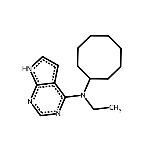 CCN(c1ncnc2[nH]ccc12)C1CCCCCCC1